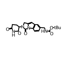 CC(C)(C)OC(=O)NCc1ccc2c(c1)cc1n2C(=O)N(C2CCC(=O)NC2=O)C1